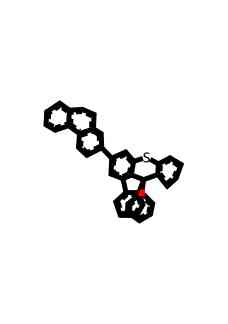 c1ccc(C23c4ccccc4Sc4cc(-c5ccc6c(ccc7ccccc76)c5)cc(c42)-c2ccccc23)cc1